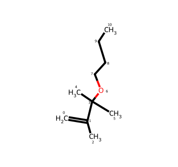 C=C(C)C(C)(C)O[CH]CCC